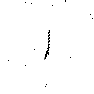 CCCCCCCCCCCCCCC[N]CCCC